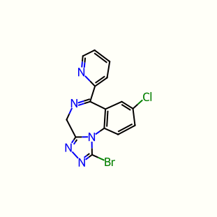 Clc1ccc2c(c1)C(c1ccccn1)=NCc1nnc(Br)n1-2